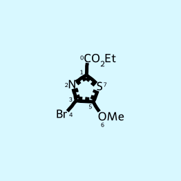 CCOC(=O)c1nc(Br)c(OC)s1